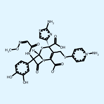 CO/N=C\C(=O)NC1(c2ccc(O)c(O)c2)C(=O)N2C(C(=O)[O-])=C(CSc3cc[n+](N)cc3)[C@@](C(=O)O)(c3csc(N)n3)S[C@H]21